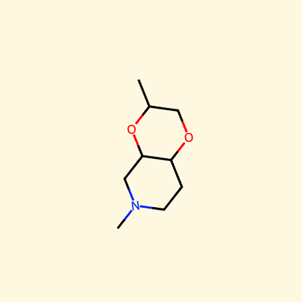 CC1COC2CCN(C)CC2O1